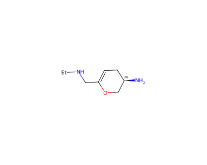 CCNCC1=CC[C@@H](N)CO1